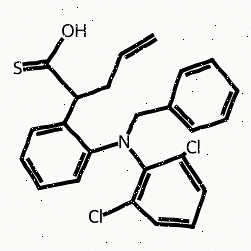 C=CCC(C(O)=S)c1ccccc1N(Cc1ccccc1)c1c(Cl)cccc1Cl